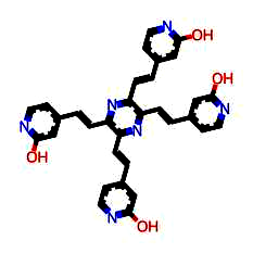 Oc1cc(C=Cc2nc(C=Cc3ccnc(O)c3)c(C=Cc3ccnc(O)c3)nc2C=Cc2ccnc(O)c2)ccn1